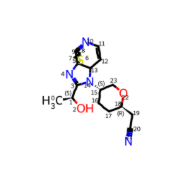 C[C@H](O)C1=NC23SC=CC2=NC=CC3N1[C@H]1CC[C@H](CC#N)OC1